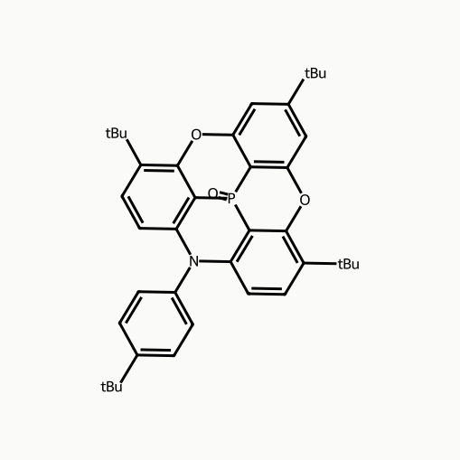 CC(C)(C)c1ccc(N2c3ccc(C(C)(C)C)c4c3P3(=O)c5c(cc(C(C)(C)C)cc5Oc5c(C(C)(C)C)ccc2c53)O4)cc1